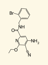 CCOc1nc(C(=O)NCc2ccccc2Br)cc(N)c1C#N